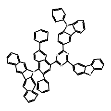 c1ccc(-c2ccc3c(-n4c5cc6ccccc6cc5c5cc6ccccc6cc54)c(-c4ccccc4)cc(-c4nc(-c5ccc6oc7ccccc7c6c5)nc(-c5ccc6c(c5)c5ccccc5n6-c5ccccc5)n4)c3c2)cc1